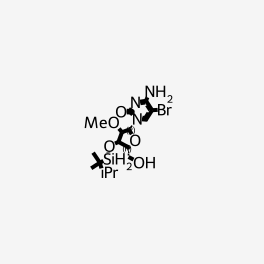 COC1C(O[SiH2]C(C)(C)C(C)C)[C@@H](CO)O[C@H]1n1cc(Br)c(N)nc1=O